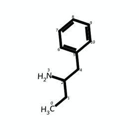 CCC(N)Cc1ccccc1